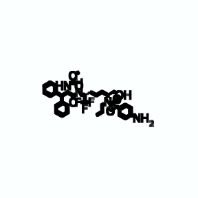 CCCN([C@H](CO)CCC[C@@H](NC(=O)[C@@H](NC(=O)OC)C(c1ccccc1)c1ccccc1)C(F)(F)F)S(=O)(=O)c1ccc(N)cc1